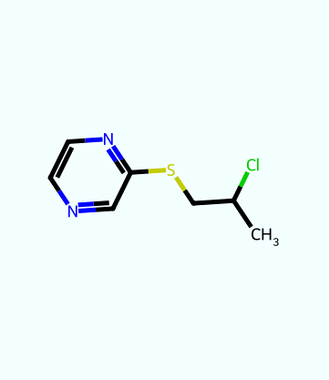 CC(Cl)CSc1cnccn1